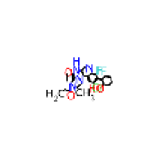 C=CC(=O)N1C[C@@H]2C(=O)Nc3cnc4c(F)c(-c5c(O)cccc5F)c(Cl)cc4c3N2C[C@H]1C